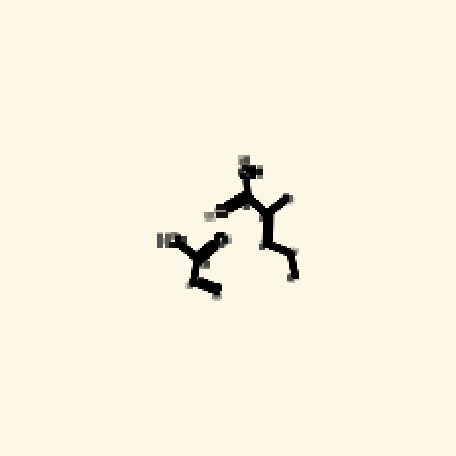 C=CC(=O)O.CC/C=C(\C)C(=O)O